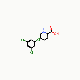 Clc1cc(Cl)cc(Cl)c1.O=C(O)C1CCCCN1